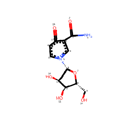 NC(=O)c1cn([C@@H]2O[C@H](CO)[C@@H](O)[C@H]2O)ccc1=O